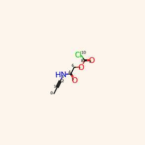 CC#CNC(=O)COC(=O)Cl